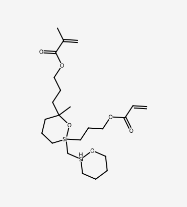 C=CC(=O)OCCC[Si]1(C[SiH]2CCCCO2)CCCC(C)(CCCOC(=O)C(=C)C)O1